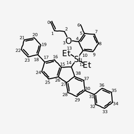 C=CCOc1c(C)cccc1[Si](CC)(CC)C1c2cc(-c3ccccc3)ccc2-c2ccc(-c3ccccc3)cc21